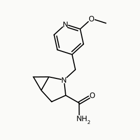 COc1cc(CN2C(C(N)=O)CC3CC32)ccn1